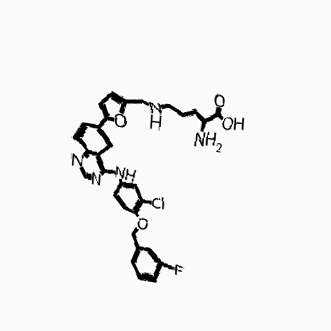 NC(CCCNCc1ccc(-c2ccc3ncnc(Nc4ccc(OCc5cccc(F)c5)c(Cl)c4)c3c2)o1)C(=O)O